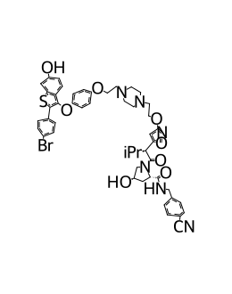 CC(C)[C@H](C(=O)N1C[C@H](O)C[C@H]1C(=O)NCc1ccc(C#N)cc1)c1cc(OCCN2CCN(CCOc3ccc(Oc4c(-c5ccc(Br)cc5)sc5cc(O)ccc45)cc3)CC2)no1